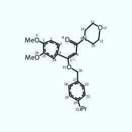 COc1ccc(/C(=C\C(=O)N2CCOCC2)OCc2ccc(C(C)C)cc2)cc1OC